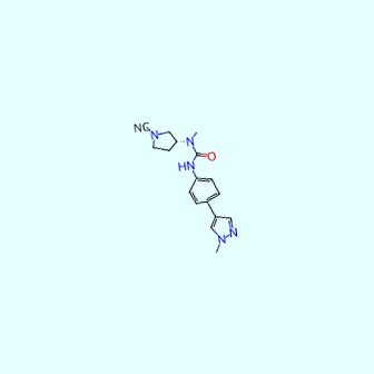 CN(C(=O)Nc1ccc(-c2cnn(C)c2)cc1)[C@@H]1CCN(C#N)C1